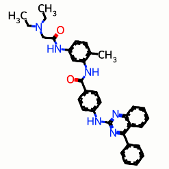 CCN(CC)CC(=O)Nc1ccc(C)c(NC(=O)c2ccc(Nc3nc(-c4ccccc4)c4ccccc4n3)cc2)c1